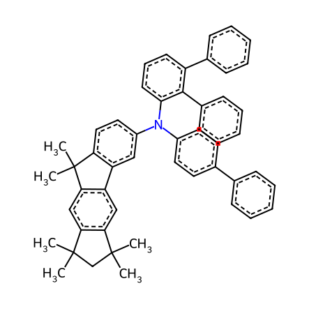 CC1(C)CC(C)(C)c2cc3c(cc21)-c1cc(N(c2ccc(-c4ccccc4)cc2)c2cccc(-c4ccccc4)c2-c2ccccc2)ccc1C3(C)C